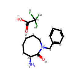 N[C@H]1CCCCCN(Cc2ccccc2)C1=O.O=C(O)C(F)(F)F